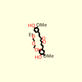 CCOCCOCCO.COc1cc(/C=C/C(=O)CC(=O)/C=C/c2ccc(O)c(OC)c2)ccc1O